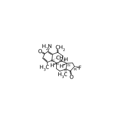 C=C1C[C@@H]2[C@H](CC[C@]3(C)C(=O)[C@H](F)C[C@@H]23)[C@@]2(C)C(C)=CC(=O)C(N)=C12